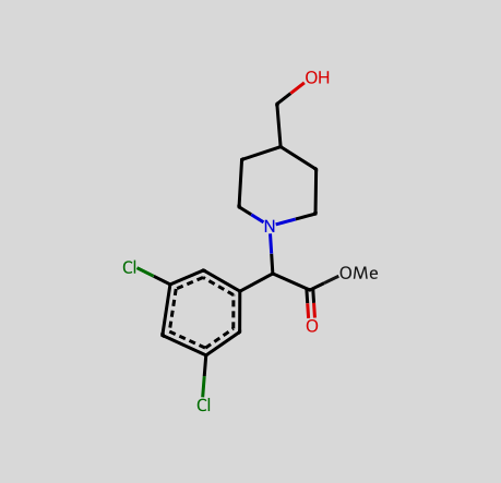 COC(=O)C(c1cc(Cl)cc(Cl)c1)N1CCC(CO)CC1